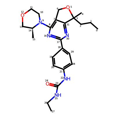 CCCC1(C)OCc2c(N3CCOC[C@@H]3C)nc(-c3ccc(NC(=O)NCC)cc3)nc21